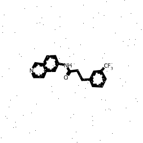 O=C(CCc1cccc(C(F)(F)F)c1)Nc1ccc2cnccc2c1